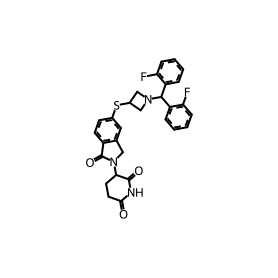 O=C1CCC(N2Cc3cc(SC4CN(C(c5ccccc5F)c5ccccc5F)C4)ccc3C2=O)C(=O)N1